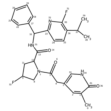 Cc1cc(CC(=O)N2CC(F)CC2C(=O)NC(c2ccccc2)c2ccc(C(C)C)c(F)n2)c[nH]c1=O